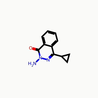 Nn1nc(C2CC2)c2ccccc2c1=O